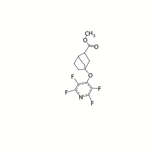 COC(=O)C1CC2(Oc3c(F)c(F)nc(F)c3F)CCC1CC2